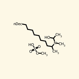 CCCCCCCCCCCCCCCCCCC(C)N(C)C(C)O.COS(=O)(=O)O